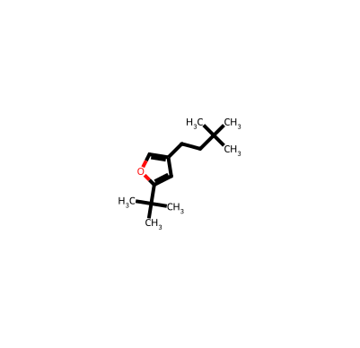 CC(C)(C)CCc1coc(C(C)(C)C)c1